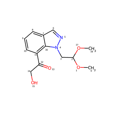 COC(Cn1ncc2cccc(C(=O)CO)c21)OC